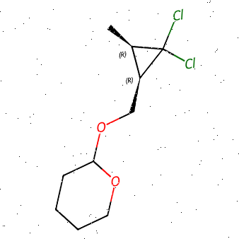 C[C@@H]1[C@H](COC2CCCCO2)C1(Cl)Cl